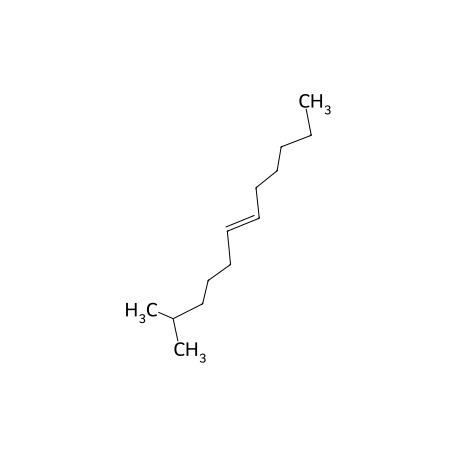 CCCCCC=CCCCC(C)C